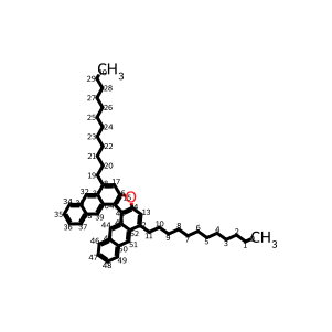 CCCCCCCCCCCCc1cc2oc3cc(CCCCCCCCCCCC)c4cc5ccccc5cc4c3c2c2cc3ccccc3cc12